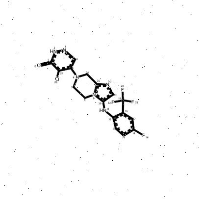 O=c1[nH]ncc(N2CCn3c(Nc4ccc(F)cc4C(F)(F)F)cnc3C2)c1Cl